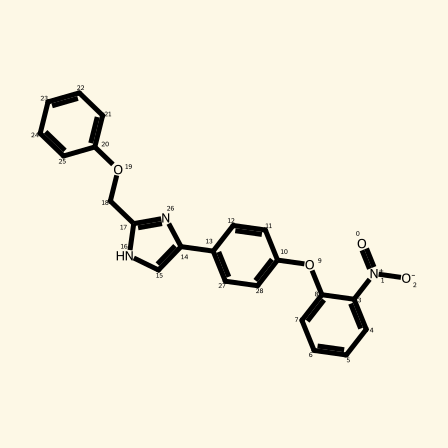 O=[N+]([O-])c1ccccc1Oc1ccc(-c2c[nH]c(COc3ccccc3)n2)cc1